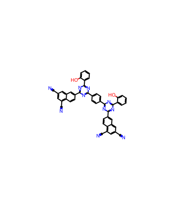 N#Cc1cc(C#N)c2ccc(-c3nc(-c4ccc(-c5nc(-c6ccc7c(C#N)cc(C#N)cc7c6)nc(-c6ccccc6O)n5)cc4)nc(-c4ccccc4O)n3)cc2c1